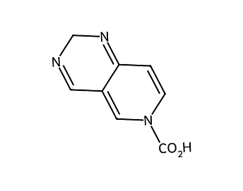 O=C(O)N1C=CC2=NCN=CC2=C1